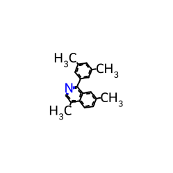 Cc1cc(C)cc(-c2ncc(C)c3ccc(C)cc23)c1